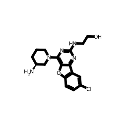 N[C@H]1CCCN(c2nc(NCCO)nc3c2oc2ccc(Cl)cc23)C1